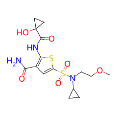 COCCN(C1CC1)S(=O)(=O)c1cc(C(N)=O)c(NC(=O)C2(O)CC2)s1